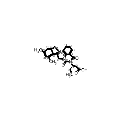 CC[C@H](CC(=O)O)n1c(=O)c2ccccc2n(Cc2nsc3cc(C)cc(C)c23)c1=O